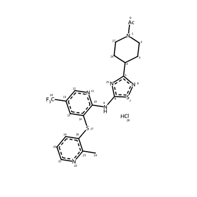 CC(=O)N1CCC(c2nsc(Nc3ncc(C(F)(F)F)cc3Sc3cccnc3C)n2)CC1.Cl